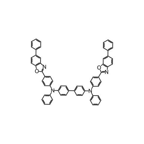 c1ccc(-c2ccc3oc(-c4ccc(N(c5ccccc5)c5ccc(-c6ccc(N(c7ccccc7)c7ccc(-c8nc9ccc(-c%10ccccc%10)cc9o8)cc7)cc6)cc5)cc4)nc3c2)cc1